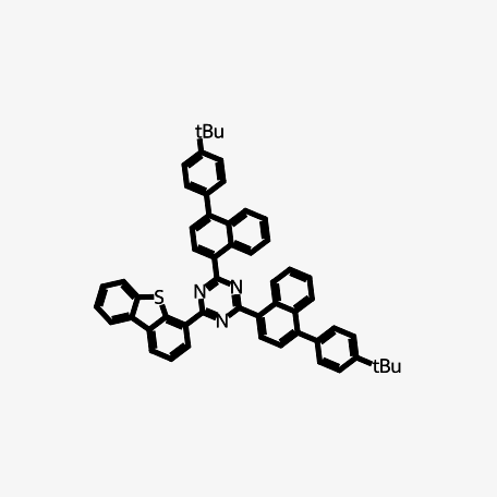 CC(C)(C)c1ccc(-c2ccc(-c3nc(-c4ccc(-c5ccc(C(C)(C)C)cc5)c5ccccc45)nc(-c4cccc5c4sc4ccccc45)n3)c3ccccc23)cc1